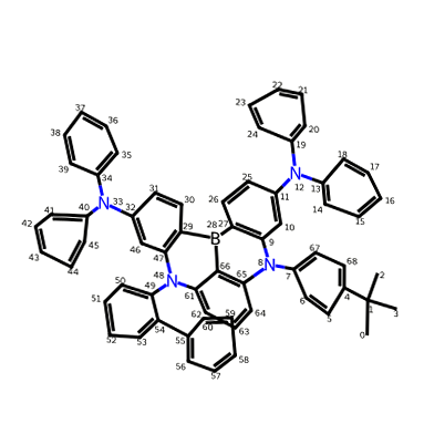 CC(C)(C)c1ccc(N2c3cc(N(c4ccccc4)c4ccccc4)ccc3B3c4ccc(N(c5ccccc5)c5ccccc5)cc4N(c4ccccc4-c4ccccc4)c4cccc2c43)cc1